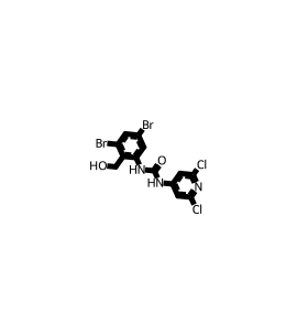 O=C(Nc1cc(Cl)nc(Cl)c1)Nc1cc(Br)cc(Br)c1CO